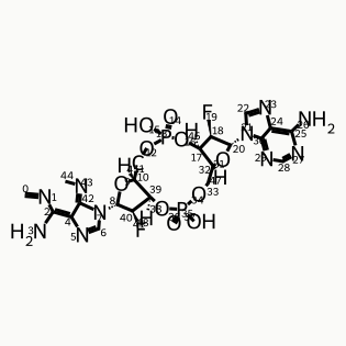 C=N/C(N)=C1/N=CN([C@@H]2O[C@@H]3COP(=O)(O)O[C@H]4[C@@H](F)[C@H](n5cnc6c(N)ncnc65)O[C@@H]4COP(=O)(O)O[C@H]3[C@H]2F)/C1=N/C